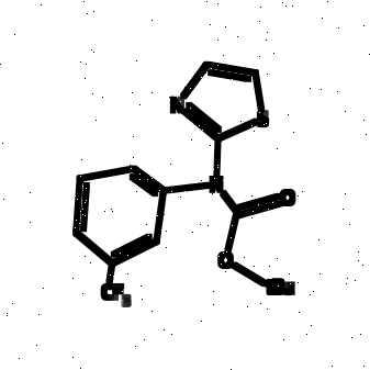 CC(C)(C)OC(=O)N(c1cccc(C(F)(F)F)c1)c1nccs1